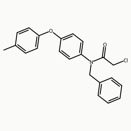 Cc1ccc(Oc2ccc(N(Cc3ccccc3)C(=O)CCl)cc2)cc1